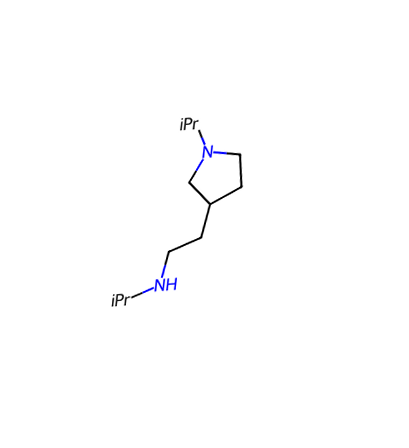 CC(C)NCCC1CCN(C(C)C)C1